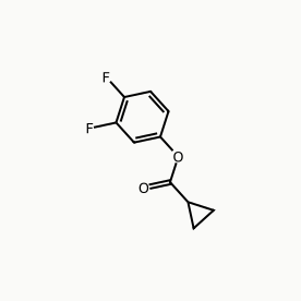 O=C(Oc1ccc(F)c(F)c1)C1CC1